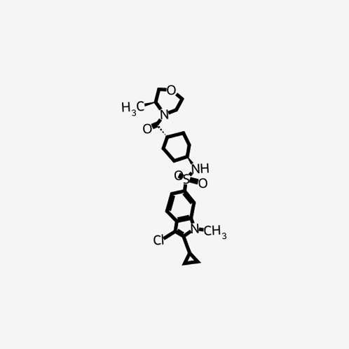 C[C@H]1COCCN1C(=O)[C@H]1CC[C@H](NS(=O)(=O)c2ccc3c(Cl)c(C4CC4)n(C)c3c2)CC1